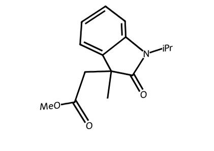 COC(=O)CC1(C)C(=O)N(C(C)C)c2ccccc21